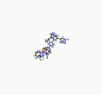 Cn1cc(-c2cc(-c3cnc(N4C[C@@H]5C[C@](C)(NC(=O)c6ncccc6Cl)C[C@@H]5C4)cn3)c3c(C#N)cnn3c2)cn1